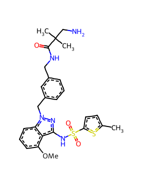 COc1cccc2c1c(NS(=O)(=O)c1ccc(C)s1)nn2Cc1cccc(CNC(=O)C(C)(C)CN)c1